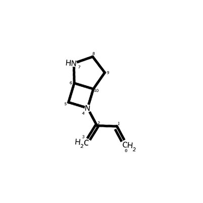 C=CC(=C)N1CC2NCCC21